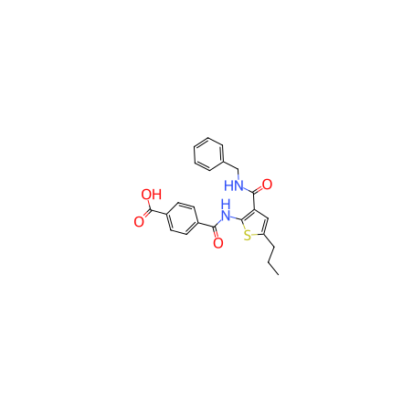 CCCc1cc(C(=O)NCc2ccccc2)c(NC(=O)c2ccc(C(=O)O)cc2)s1